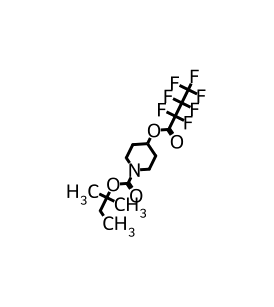 CCC(C)(C)OC(=O)N1CCC(OC(=O)C(F)(F)C(F)(F)C(F)(F)F)CC1